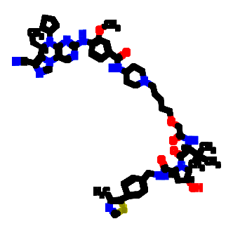 CC[C@@H]1c2c(C#N)ncn2-c2cnc(Nc3ccc(C(=O)NC4CCN(CCCCCOCC(=O)N[C@H](C(=O)N5C[C@H](O)C[C@H]5C(=O)NCc5ccc(-c6scnc6C)cc5)C(C)(C)C)CC4)cc3OC)nc2N1C1CCCC1